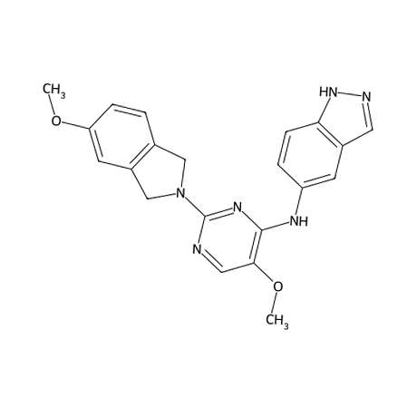 COc1ccc2c(c1)CN(c1ncc(OC)c(Nc3ccc4[nH]ncc4c3)n1)C2